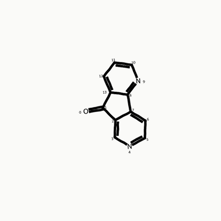 O=C1c2cnccc2-c2ncccc21